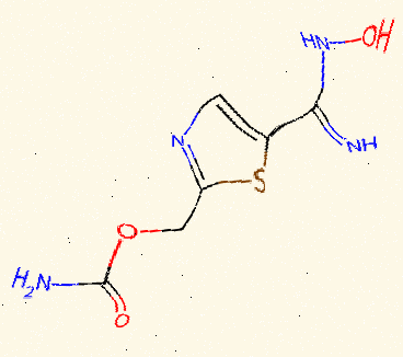 N=C(NO)c1cnc(COC(N)=O)s1